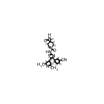 Cc1cc(-c2sc(NC(=O)N3CCC4(CC3)CNC4=O)nc2-c2cccc(C#N)c2)cc(C)n1